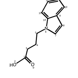 O=C(O)CCCn1ccc2c[c]ccc21